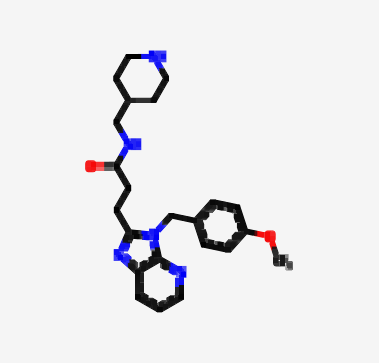 O=C(CCc1nc2cccnc2n1Cc1ccc(OC(F)(F)F)cc1)NCC1CCNCC1